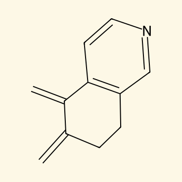 C=C1CCc2cnccc2C1=C